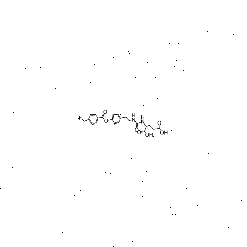 O=C(O)CC[C@H](NC(=O)NCCc1ccc(OC(=O)c2ccc(CF)cc2)cc1)C(=O)O